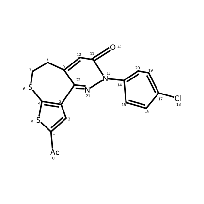 CC(=O)c1cc2c(s1)SCCc1cc(=O)n(-c3ccc(Cl)cc3)nc1-2